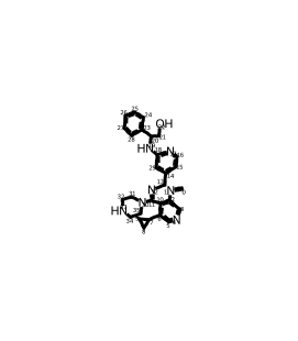 C=Nc1cncc(C2CC2)c1/C(=N\Cc1ccnc(NC(CO)c2ccccc2)c1)N1CCNCC1